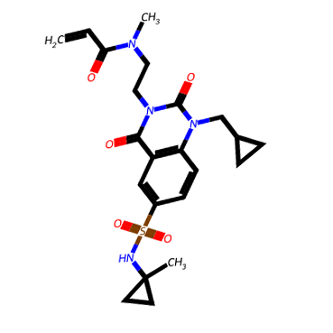 C=CC(=O)N(C)CCn1c(=O)c2cc(S(=O)(=O)NC3(C)CC3)ccc2n(CC2CC2)c1=O